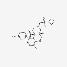 O=S(=O)(C[C@@H]1CC[C@@]2(S(=O)(=O)c3ccc(Cl)cc3)c3c(F)ccc(F)c3OC[C@H]2C1)N1CCC1